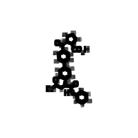 CCC1CN(C(=O)Nc2ccccc2)c2ccc(-c3ccc(C(=O)[C@@H]4CCC[C@H]4C(=O)O)cc3)cc2O1